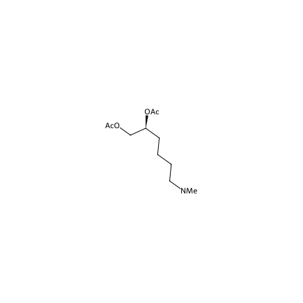 CNCCCC[C@@H](COC(C)=O)OC(C)=O